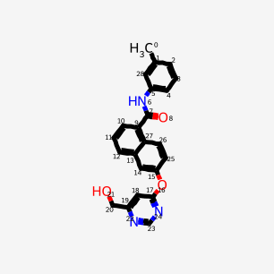 Cc1cccc(NC(=O)c2cccc3cc(Oc4cc(CO)ncn4)ccc23)c1